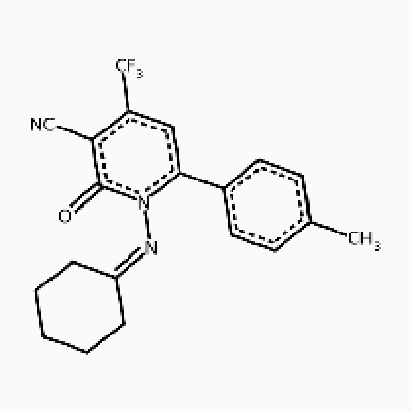 Cc1ccc(-c2cc(C(F)(F)F)c(C#N)c(=O)n2N=C2CCCCC2)cc1